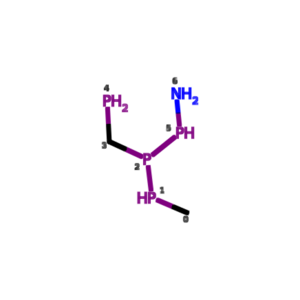 CPP(CP)PN